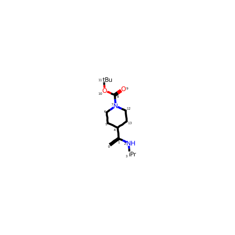 C=C(NC(C)C)C1CCN(C(=O)OC(C)(C)C)CC1